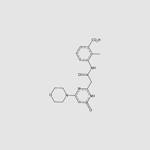 Cc1c(NC(=O)Cc2nc(N3CCOCC3)cc(=O)[nH]2)cccc1C(=O)O